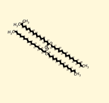 CCCCCCCCCCCCCCCCCC(=O)OCCCCCCCCCCCCCCCC.CCCCCCCCCCCCCCCCCCOC(=O)CCCCCCCCCCCCCCC(C)C